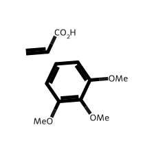 C=CC(=O)O.COc1cccc(OC)c1OC